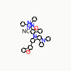 N#Cc1cc(-n2c3ccc(-c4ccc5oc6ccccc6c5c4)cc3c3c4c5ccccc5n(-c5ccccc5)c4ccc32)c2c(oc3ccccc32)c1-c1nc(-c2ccccc2)nc(-c2ccccc2)n1